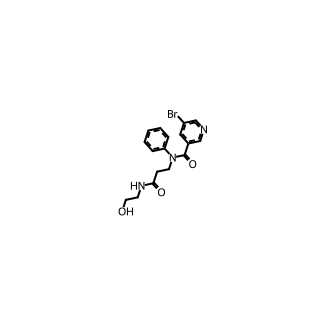 O=C(CCN(C(=O)c1cncc(Br)c1)c1ccccc1)NCCO